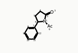 CC(=O)N1C(=O)CCC1c1ccccc1